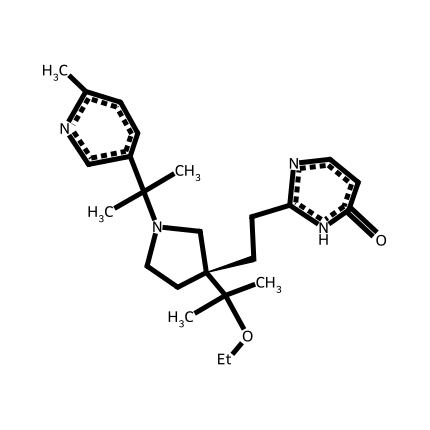 CCOC(C)(C)[C@]1(CCc2nccc(=O)[nH]2)CCN(C(C)(C)c2ccc(C)nc2)C1